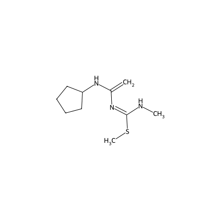 C=C(/N=C(\NC)SC)NC1CCCC1